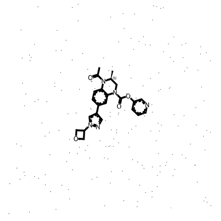 CC(=O)N1c2ccc(-c3cnn(C4COC4)c3)cc2N(C(=O)Oc2cccnc2)C[C@@H]1C